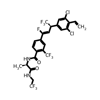 C=Cc1c(Cl)cc([C@@H](/C=C(\F)c2ccc(C(=O)N[C@H](C)C(=O)NCC(F)(F)F)c(C(F)(F)F)c2)C(F)(F)F)cc1Cl